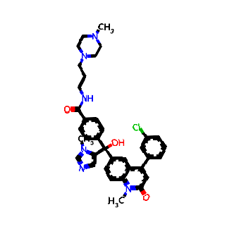 CN1CCN(CCCNC(=O)c2ccc(C(O)(c3ccc4c(c3)c(-c3cccc(Cl)c3)cc(=O)n4C)c3cncn3C)cc2)CC1